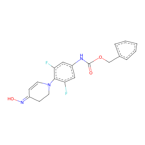 O=C(Nc1cc(F)c(N2C=CC(=NO)CC2)c(F)c1)OCc1ccccc1